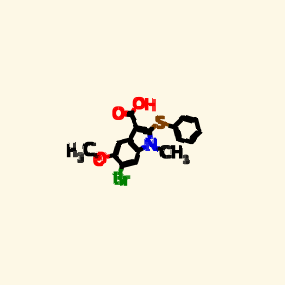 COc1cc2c(C(=O)O)c(Sc3ccccc3)n(C)c2cc1Br